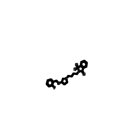 O=C1c2ccccc2S(=O)(=O)N1CCCCN1CCC(OCc2ccccc2F)C1